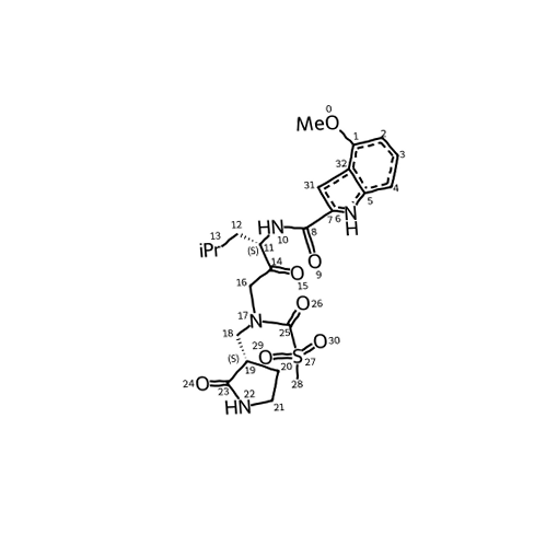 COc1cccc2[nH]c(C(=O)N[C@@H](CC(C)C)C(=O)CN(C[C@@H]3CCNC3=O)C(=O)S(C)(=O)=O)cc12